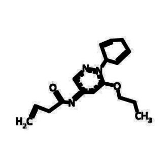 C=CCC(=O)N=c1cnn(C2C=CCC=C2)c(OCCC)c1